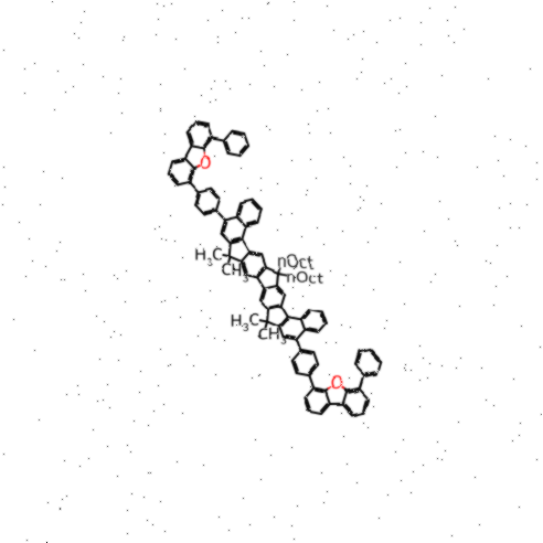 CCCCCCCCC1(CCCCCCCC)c2cc3c(cc2-c2cc4c(cc21)-c1c(cc(-c2ccc(-c5cccc6c5oc5c(-c7ccccc7)cccc56)cc2)c2ccccc12)C4(C)C)C(C)(C)c1cc(-c2ccc(-c4cccc5c4oc4c(-c6ccccc6)cccc45)cc2)c2ccccc2c1-3